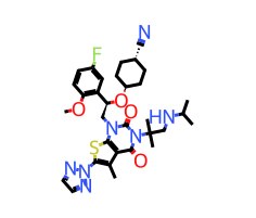 COc1ccc(F)cc1[C@H](Cn1c(=O)n(C(C)(C)CNC(C)C)c(=O)c2c(C)c(-n3nccn3)sc21)O[C@H]1CC[C@@H](C#N)CC1